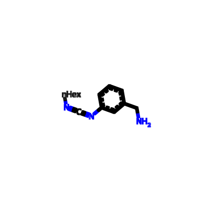 CCCCCCN=C=Nc1cccc(CN)c1